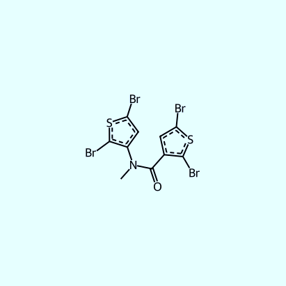 CN(C(=O)c1cc(Br)sc1Br)c1cc(Br)sc1Br